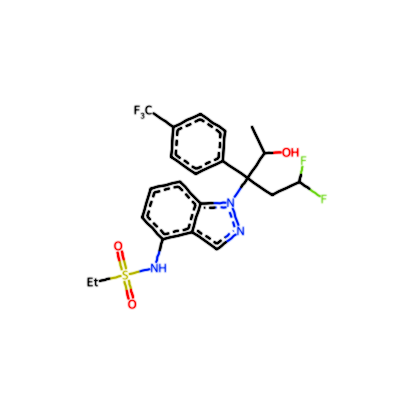 CCS(=O)(=O)Nc1cccc2c1cnn2C(CC(F)F)(c1ccc(C(F)(F)F)cc1)C(C)O